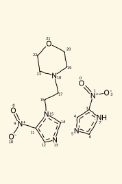 O=[N+]([O-])c1cnc[nH]1.O=[N+]([O-])c1cncn1CCN1CCOCC1